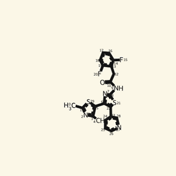 Cc1nc(C)c(-c2nc(NC(=O)Cc3c(F)cccc3F)sc2-c2cccnc2)s1